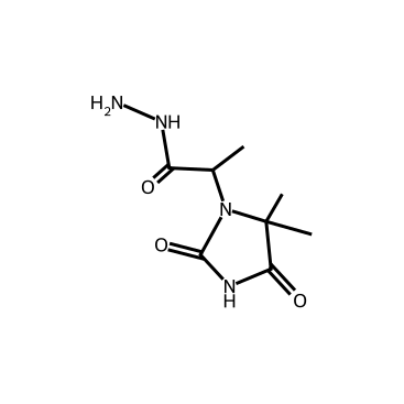 CC(C(=O)NN)N1C(=O)NC(=O)C1(C)C